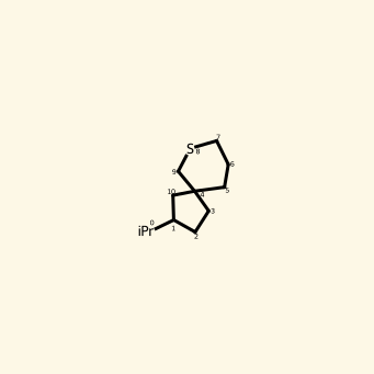 CC(C)C1CCC2(CCCSC2)C1